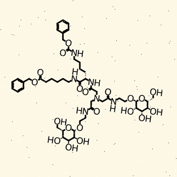 O=C(CN(CC(=O)NCCO[C@H]1O[C@H](CO)[C@@H](O)[C@H](O)[C@@H]1O)CC(=O)N[C@@H](CCCCNC(=O)OCc1ccccc1)C(=O)NCCCCCC(=O)OCc1ccccc1)NCCO[C@H]1O[C@H](CO)[C@@H](O)[C@H](O)[C@@H]1O